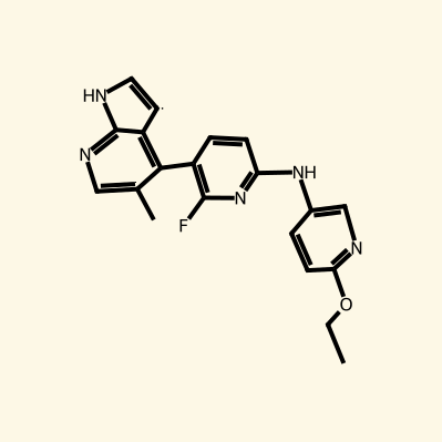 CCOc1ccc(Nc2ccc(-c3c(C)cnc4[nH]c[c]c34)c(F)n2)cn1